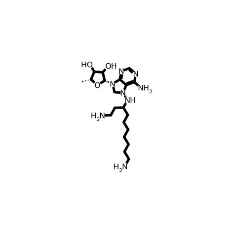 C[C@H]1O[C@@H](N2CN(NC(CCN)CCCCCCCN)c3c(N)ncnc32)C(O)C1O